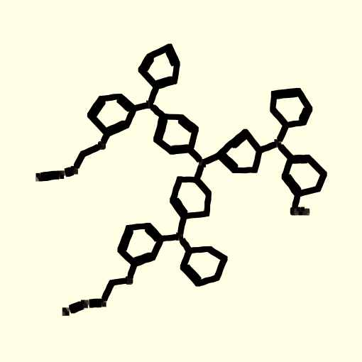 COC1=CC(N(C2C=CC=CC2)C2C=CC(N(c3ccc(N(c4ccccc4)c4cccc(OCN=[N+]=[N-])c4)cc3)C3CC=C(N(c4cccc(OCN=[N+]=[N-])c4)C4C=CCCC4)CC3)=CC2)=CCC1